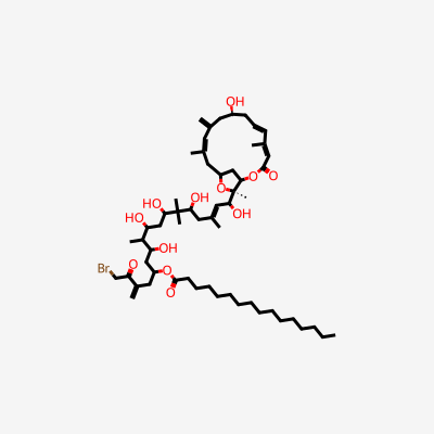 C=C1/C=C(/C)CC2CC(OC(=O)/C=C(C)/C=C/C[C@H](O)C1)[C@@](C)(C(O)/C=C(\C)CC(O)C(C)(C)C(O)CC(O)C(C)C(O)CC(CC(=C)C(=O)CBr)OC(=O)CCCCCCCCCCCCCCC)O2